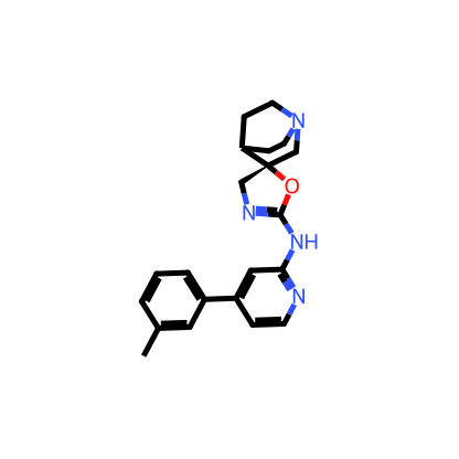 Cc1cccc(-c2ccnc(NC3=NC[C@@]4(CN5CCC4CC5)O3)c2)c1